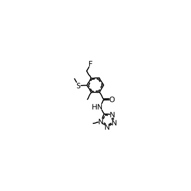 CSc1c(CF)ccc(C(=O)Nc2nnnn2C)c1C